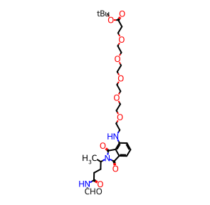 CC(CCC(=O)NC=O)N1C(=O)c2cccc(NCCOCCOCCOCCOCCOCCC(=O)OC(C)(C)C)c2C1=O